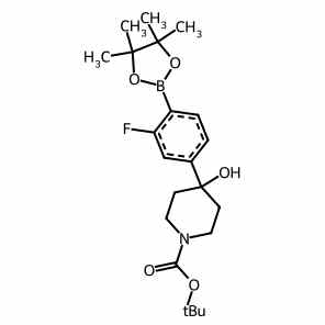 CC(C)(C)OC(=O)N1CCC(O)(c2ccc(B3OC(C)(C)C(C)(C)O3)c(F)c2)CC1